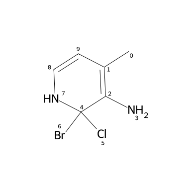 CC1=C(N)C(Cl)(Br)NC=C1